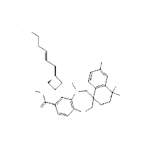 CCC/C=C/[C@H](O)[C@@H]1CC[C@H]1CN1CC2(CCC(F)(F)c3cc(Cl)ccc32)COc2ccc(C(=O)OC)cc21